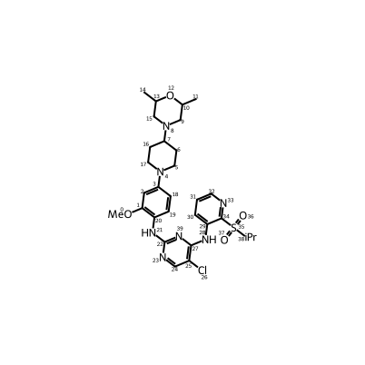 COc1cc(N2CCC(N3CC(C)OC(C)C3)CC2)ccc1Nc1ncc(Cl)c(Nc2cccnc2S(=O)(=O)C(C)C)n1